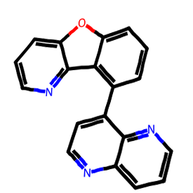 c1cnc2c(-c3cccc4oc5cccnc5c34)ccnc2c1